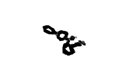 N#Cc1ccccc1[S+]([O-])N1CCN(c2ccccc2)CC1